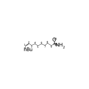 CCCC/C=C\CCCCCCCC(N)=O